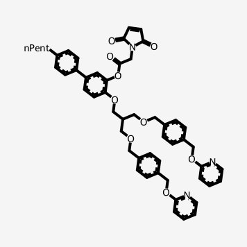 CCCCCc1ccc(-c2ccc(OCC(COCc3ccc(COc4ccccn4)cc3)COCc3ccc(COc4ccccn4)cc3)c(OC(=O)CN3C(=O)C=CC3=O)c2)cc1